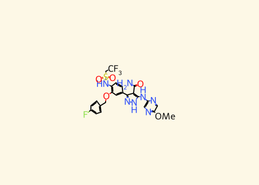 COc1cnc(Nc2[nH]nc(-c3ccc(NS(=O)(=O)CC(F)(F)F)c(OCc4ccc(F)cc4)c3)c2C(N)=O)cn1